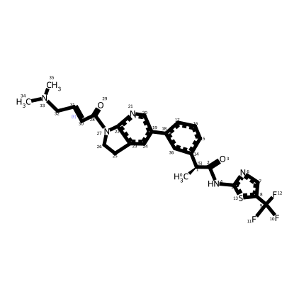 C[C@H](C(=O)Nc1ncc(C(F)(F)F)s1)c1cccc(-c2cnc3c(c2)CCN3C(=O)/C=C/CN(C)C)c1